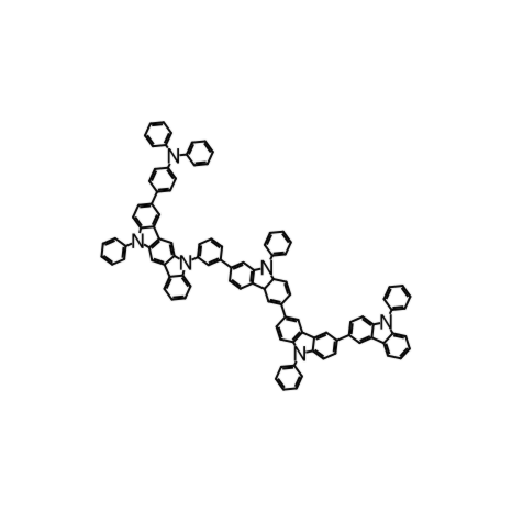 C1=CC2C(C=C1c1ccc3c(c1)c1cc(-c4ccc5c(c4)c4ccccc4n5-c4ccccc4)ccc1n3-c1ccccc1)c1ccc(-c3cccc(-n4c5ccccc5c5cc6c(cc54)c4cc(-c5ccc(N(c7ccccc7)c7ccccc7)cc5)ccc4n6-c4ccccc4)c3)cc1N2c1ccccc1